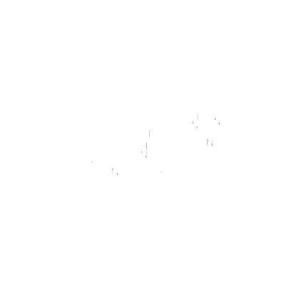 CC(C)(C)OC(=O)N1CCC(NC(=O)c2ccc(Nc3ncccn3)cc2F)C1